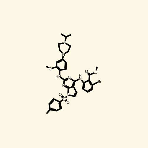 COC(=O)c1c(Br)cccc1Nc1nc(Nc2ccc(N3CCN(C(C)C)CC3)cc2OC)nc2c1ccn2S(=O)(=O)c1ccc(C)cc1